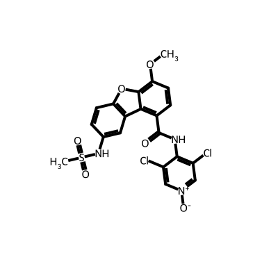 COc1ccc(C(=O)Nc2c(Cl)c[n+]([O-])cc2Cl)c2c1oc1ccc(NS(C)(=O)=O)cc12